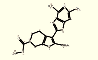 CC(=O)Nc1sc2c(c1-c1nc3c(C)nc(C)cc3s1)CCN(C(=O)OC(C)(C)C)C2